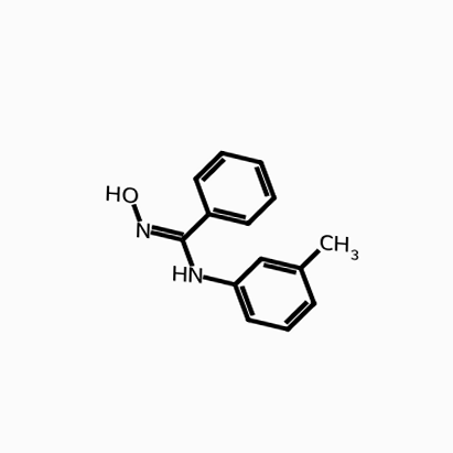 Cc1cccc(N/C(=N/O)c2ccccc2)c1